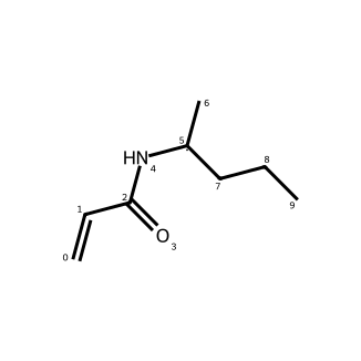 C=CC(=O)N[C](C)CCC